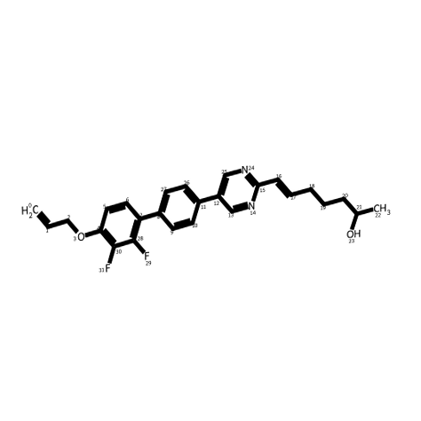 C=CCOc1ccc(-c2ccc(-c3cnc(C=CCCCC(C)O)nc3)cc2)c(F)c1F